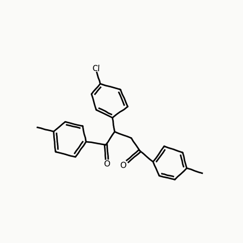 Cc1ccc(C(=O)CC(C(=O)c2ccc(C)cc2)c2ccc(Cl)cc2)cc1